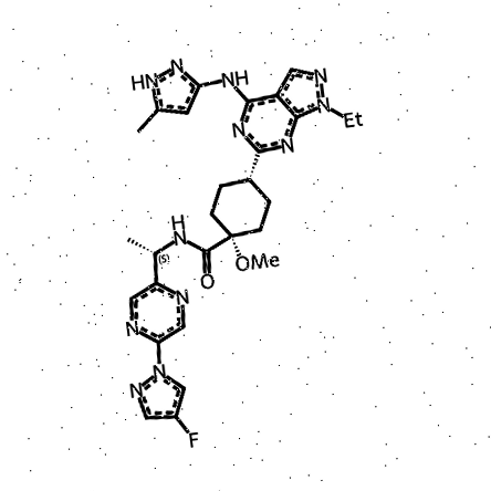 CCn1ncc2c(Nc3cc(C)[nH]n3)nc([C@H]3CC[C@](OC)(C(=O)N[C@@H](C)c4cnc(-n5cc(F)cn5)cn4)CC3)nc21